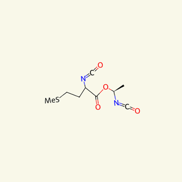 CSCCC(N=C=O)C(=O)O[C@@H](C)N=C=O